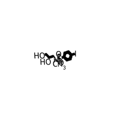 CN(CC(O)CO)S(=O)(=O)c1ccc(I)cc1